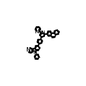 c1ccc(-n2c3ccncc3c3cc(-c4ccc(-c5cc(-c6ccc7c(ccc8ccccc87)c6)nc(-c6ccccn6)c5)cc4)ccc32)cc1